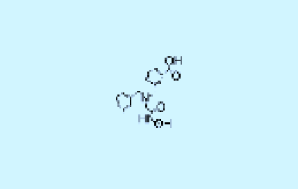 Cc1cccc(CN(CC(=O)NO)Cc2cccc(C(=O)O)c2)c1